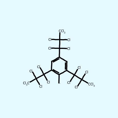 [CH2]c1c(C(Cl)(Cl)C(Cl)(Cl)C(Cl)(Cl)Cl)cc(C(Cl)(Cl)C(Cl)(Cl)C(Cl)(Cl)Cl)cc1C(Cl)(Cl)C(Cl)(Cl)C(Cl)(Cl)Cl